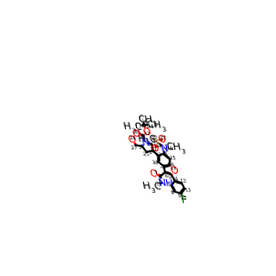 CNC(=O)c1c(-c2ccc(F)cc2)oc2cc(N(C)S(C)(=O)=O)c(C3CC(C=O)N(C(=O)OC(C)(C)C)C3)cc12